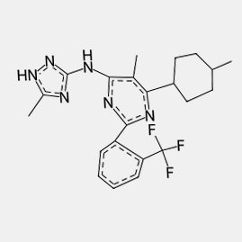 Cc1nc(Nc2nc(-c3ccccc3C(F)(F)F)nc(C3CCC(C)CC3)c2C)n[nH]1